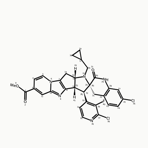 COC(=O)c1ccn2c3c(nc2c1)[C@@H]1[C@H](C3)N(CC2CC2)[C@]2(Cc3ccc(Cl)cc3NC2=O)[C@H]1c1ccnc(Cl)c1F